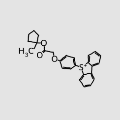 CCC1(OC(=O)COc2ccc(-[s+]3c4ccccc4c4ccccc43)cc2)CCCC1